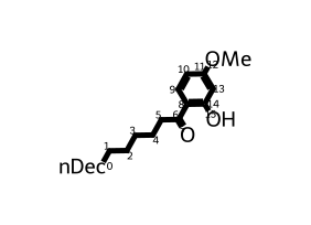 CCCCCCCCCCCCCCCC(=O)c1ccc(OC)cc1O